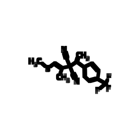 C=C(c1ccc(C(F)(F)F)cc1)C(C#N)(C#N)/C(C)=C/SC